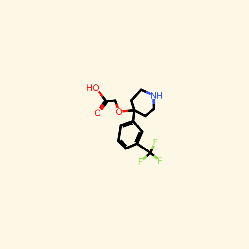 O=C(O)COC1(c2cccc(C(F)(F)F)c2)CCNCC1